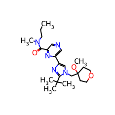 CCCN(C)C(=O)c1cncc(-c2cn(CC3(OC)CCOCC3)c(C(C)(C)C)n2)n1